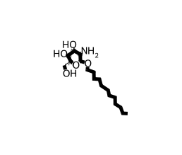 CCCCCCCCCCCCOC1O[C@H](CO)[C@H](O)[C@H](O)[C@H]1N